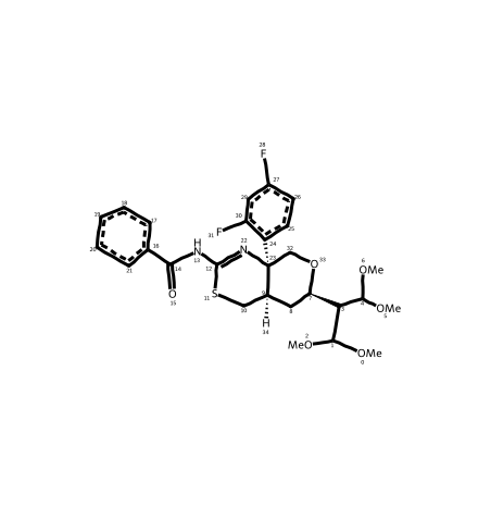 COC(OC)C(C(OC)OC)[C@H]1C[C@H]2CSC(NC(=O)c3ccccc3)=N[C@@]2(c2ccc(F)cc2F)CO1